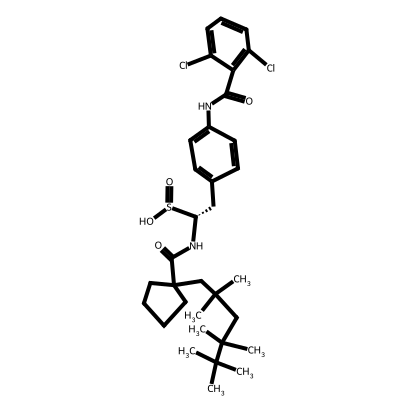 CC(C)(CC1(C(=O)N[C@@H](Cc2ccc(NC(=O)c3c(Cl)cccc3Cl)cc2)S(=O)O)CCCC1)CC(C)(C)C(C)(C)C